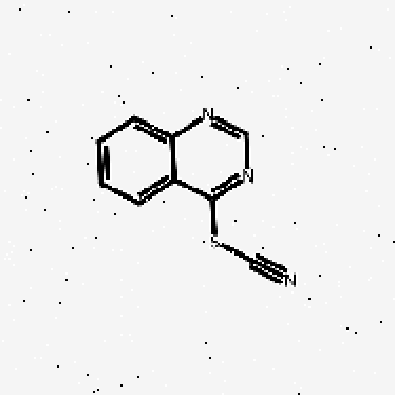 N#CSc1ncnc2ccccc12